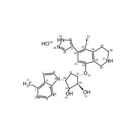 Cc1ncnc2c1ccn2[C@@H]1C[C@H](Oc2cc(-c3cn[nH]c3)c(F)c3c2CNCC3)[C@@H](O)[C@H]1O.Cl